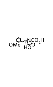 COc1ccccc1CCn1cc(O)c(=O)c(C(=O)O)n1